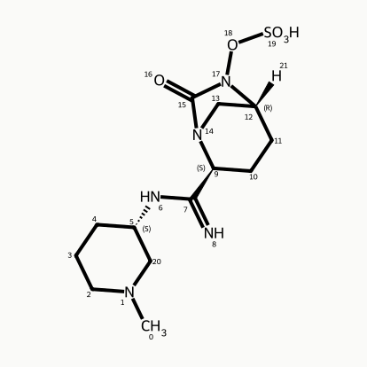 CN1CCC[C@H](NC(=N)[C@@H]2CC[C@@H]3CN2C(=O)N3OS(=O)(=O)O)C1